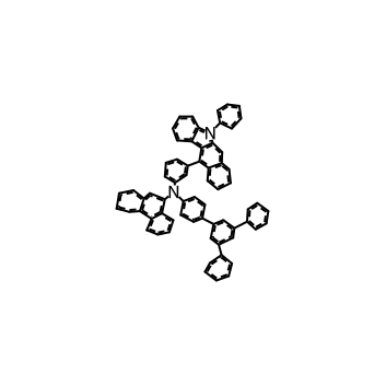 c1ccc(-c2cc(-c3ccccc3)cc(-c3ccc(N(c4cccc(-c5c6ccccc6cc6c5c5ccccc5n6-c5ccccc5)c4)c4cc5ccccc5c5ccccc45)cc3)c2)cc1